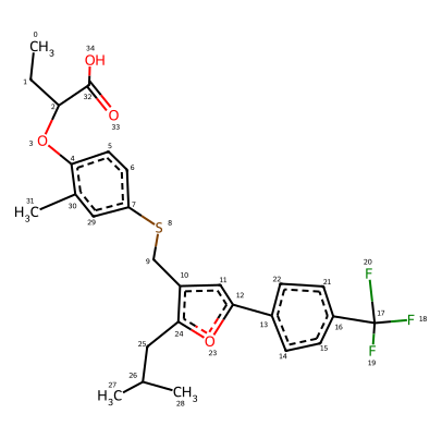 CCC(Oc1ccc(SCc2cc(-c3ccc(C(F)(F)F)cc3)oc2CC(C)C)cc1C)C(=O)O